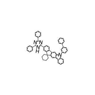 c1ccc(C2=NC(c3ccccc3)NC(c3ccc4c(c3)C3(CCCCC3)c3cc5c6ccccc6n(-c6cccc(-c7ccccc7)c6)c5cc3-4)=N2)cc1